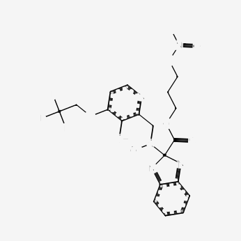 Cc1c(OCC(F)(F)F)ccnc1C[S+]([O-])C1(C(=O)OCCCO[N+](=O)[O-])N=c2ccccc2=N1